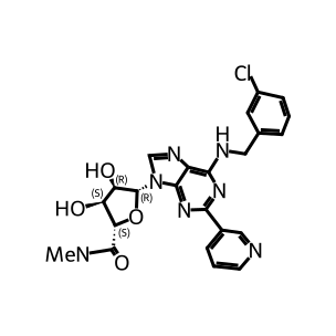 CNC(=O)[C@H]1O[C@@H](n2cnc3c(NCc4cccc(Cl)c4)nc(-c4cccnc4)nc32)[C@H](O)[C@@H]1O